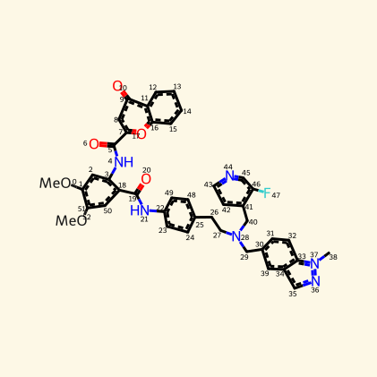 COc1cc(NC(=O)c2cc(=O)c3ccccc3o2)c(C(=O)Nc2ccc(CCN(Cc3ccc4c(cnn4C)c3)Cc3ccncc3F)cc2)cc1OC